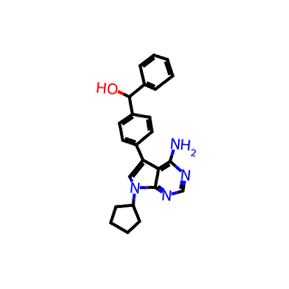 Nc1ncnc2c1c(-c1ccc(C(O)c3ccccc3)cc1)cn2C1CCCC1